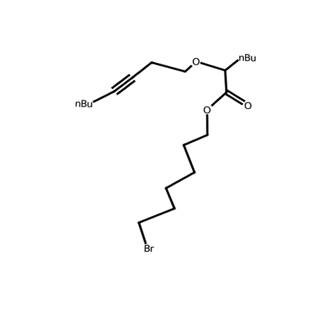 CCCCC#CCCOC(CCCC)C(=O)OCCCCCCBr